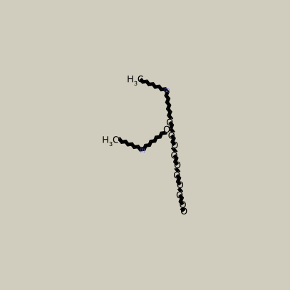 CCCCCCCC/C=C\CCCCCCCCOCC(COCCOCCOCCOCCOCCOCCOCCOC=O)OCCCCCCCC/C=C\CCCCCCCC